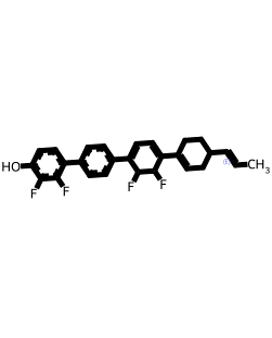 C/C=C/C1CC=C(C2=CC=C(c3ccc(-c4ccc(O)c(F)c4F)cc3)C(F)C2F)CC1